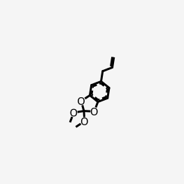 C=CCc1ccc2c(c1)OC(OC)(OC)O2